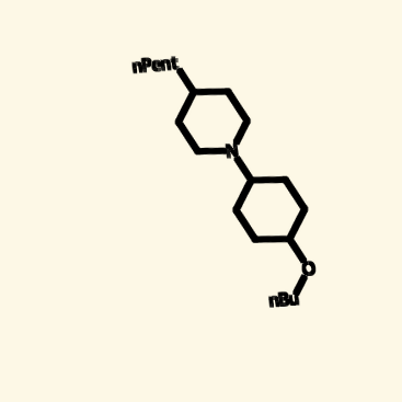 CCCCCC1CCN(C2CCC(OCCCC)CC2)CC1